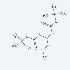 CC(C)(C)OC(=O)CC(CCO)CC(=O)OC(C)(C)C